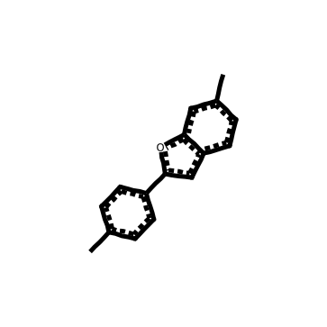 Cc1ccc(-c2cc3ccc(C)cc3o2)cc1